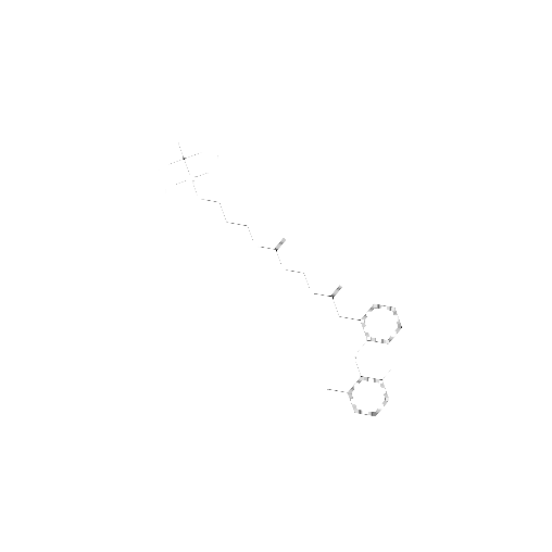 CC(C)(C)[Si](C)(C)OCCCOC(=O)OCOC(=O)Cc1ccccc1Nc1c(Cl)cccc1Cl